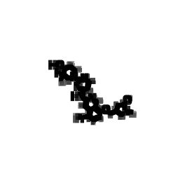 CC(C)c1ccc(OCC2CC(=O)N(C)C2)c2cnc(Nc3ccnc(N4CC[C@@H](O)[C@@](C)(F)C4)n3)cc12